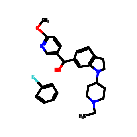 CCN1CCC(N2CCc3ccc(C(O)c4ccc(OC)nc4)cc32)CC1.Fc1ccccc1